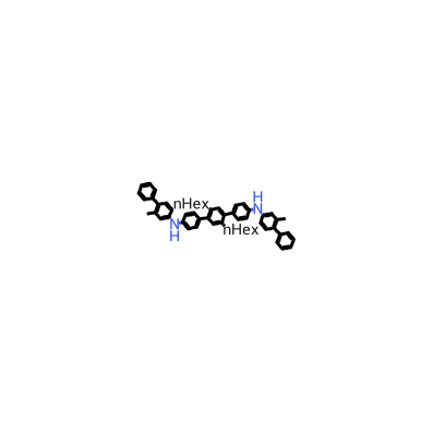 CCCCCCc1cc(-c2ccc(Nc3ccc(-c4ccccc4)c(C)c3)cc2)c(CCCCCC)cc1-c1ccc(Nc2ccc(-c3ccccc3)c(C)c2)cc1